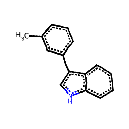 Cc1cc[c]c(-c2c[nH]c3ccccc23)c1